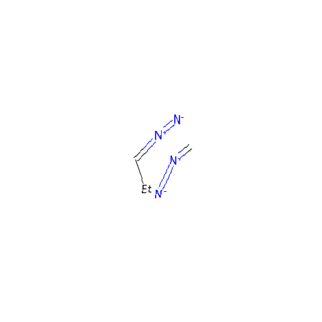 C=[N+]=[N-].CCC=[N+]=[N-]